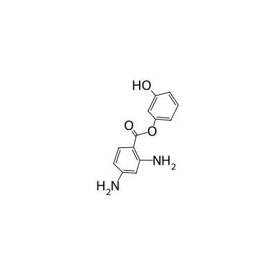 Nc1ccc(C(=O)Oc2cccc(O)c2)c(N)c1